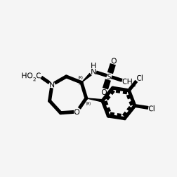 CS(=O)(=O)N[C@@H]1CN(C(=O)O)CCO[C@@H]1c1ccc(Cl)c(Cl)c1